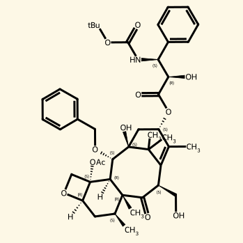 CC(=O)O[C@@]12CO[C@@H]1C[C@H](C)[C@@]1(C)C(=O)[C@H](CO)C3=C(C)[C@@H](OC(=O)[C@H](O)[C@@H](NC(=O)OC(C)(C)C)c4ccccc4)C[C@@](O)([C@@H](OCc4ccccc4)[C@H]21)C3(C)C